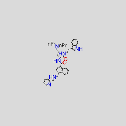 CCCN(CCC)CCC[C@H](NC(=O)c1ccc(CNCc2ccccn2)c2ccccc12)C(=O)NCCc1c[nH]c2ccccc12